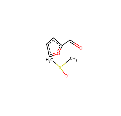 C[S+](C)[O-].O=Cc1ccco1